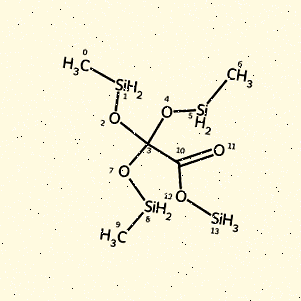 C[SiH2]OC(O[SiH2]C)(O[SiH2]C)C(=O)O[SiH3]